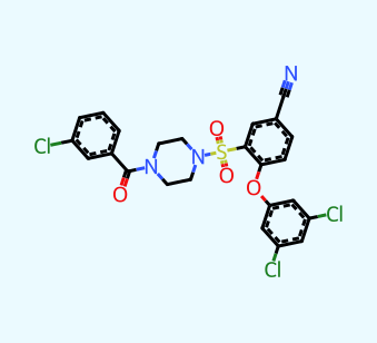 N#Cc1ccc(Oc2cc(Cl)cc(Cl)c2)c(S(=O)(=O)N2CCN(C(=O)c3cccc(Cl)c3)CC2)c1